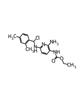 CCOC(=O)Nc1ccc(NC(Cl)c2ccc(C)cc2C)nc1N